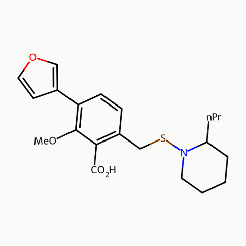 CCCC1CCCCN1SCc1ccc(-c2ccoc2)c(OC)c1C(=O)O